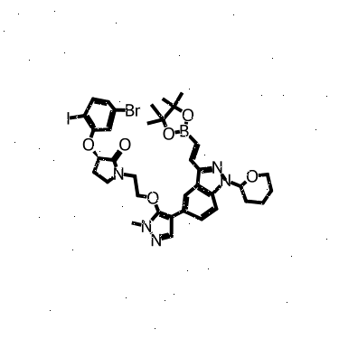 Cn1ncc(-c2ccc3c(c2)c(/C=C/B2OC(C)(C)C(C)(C)O2)nn3C2CCCCO2)c1OCCN1CC[C@@H](Oc2cc(Br)ccc2I)C1=O